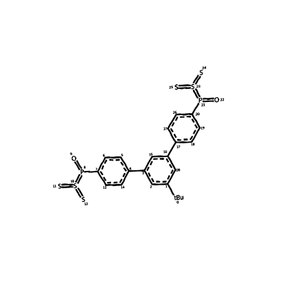 CC(C)(C)c1cc(-c2ccc(P(=O)=S(=S)=S)cc2)cc(-c2ccc(P(=O)=S(=S)=S)cc2)c1